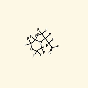 O=C(F)C(F)(F)C(F)(N1C(F)(F)C(F)(F)OC(F)(F)C1(F)F)C(F)(F)F